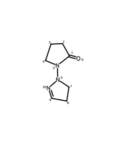 O=C1CCCN1N1CCC=N1